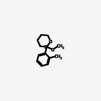 CO[Si]1(c2ccccc2C)CCCCO1